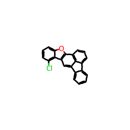 Clc1cccc2oc3c4cccc5c4c(cc3c12)-c1ccccc1-5